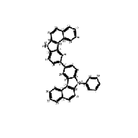 c1ccc(-n2c3ccc(-c4ccc5[nH]c6ccc7ccccc7c6c5c4)cc3c3c4ccccc4ccc32)cc1